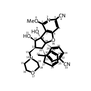 COc1nc(C#N)cc2c1[C@]1(O)[C@H](O)[C@H](CN3CCOCC3)[C@@H](C3(C)C=CC=CC3)[C@]1(c1ccc(C#N)cc1)O2